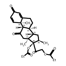 CCC(=O)OCC(=O)[C@@]1(OC(=O)CC)[C@H](C)C[C@H]2[C@@H]3CCC4=CC(=O)C=C[C@]4(C)[C@H]3C(=O)C[C@@]21C